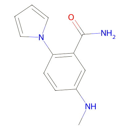 CNc1ccc(-n2cccc2)c(C(N)=O)c1